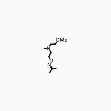 COCCN(C)CCON=C(C)C